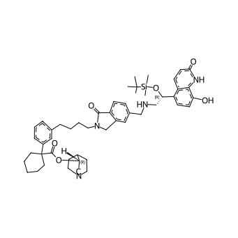 CC(C)(C)[Si](C)(C)O[C@@H](CNCc1ccc2c(c1)CN(CCCCc1cccc(C3(C(=O)O[C@H]4CN5CCC4CC5)CCCCC3)c1)C2=O)c1ccc(O)c2[nH]c(=O)ccc12